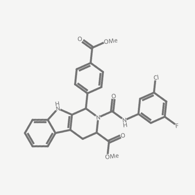 COC(=O)c1ccc(C2c3[nH]c4ccccc4c3CC(C(=O)OC)N2C(=O)Nc2cc(F)cc(Cl)c2)cc1